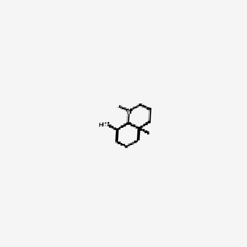 CN1CCCC2(C)CCCC(O)C12